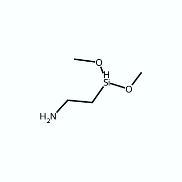 CO[SiH](CCN)OC